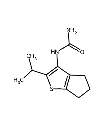 CC(C)c1sc2c(c1NC(N)=O)CCC2